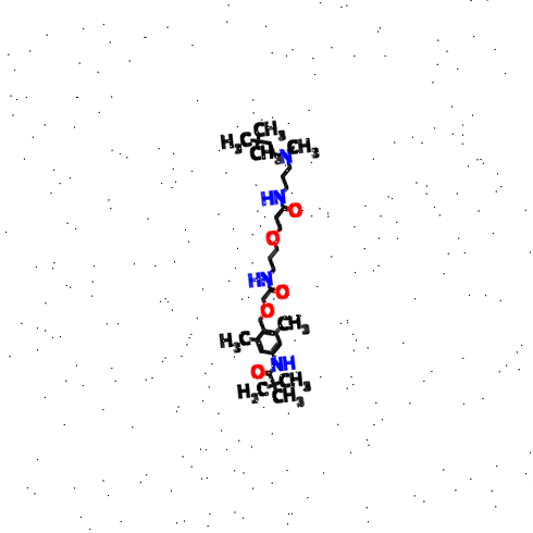 Cc1cc(NC(=O)C(C)(C)C)cc(C)c1COCC(=O)NCCCOCCC(=O)NCCCN(C)CCC(C)(C)C